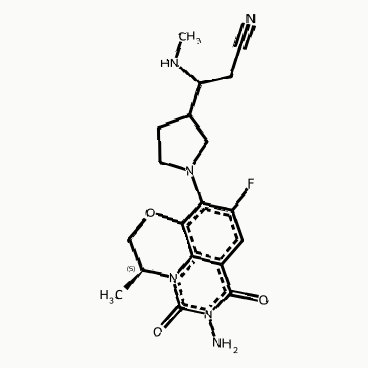 CNC(CC#N)C1CCN(c2c(F)cc3c(=O)n(N)c(=O)n4c3c2OC[C@@H]4C)C1